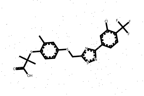 Cc1cc(SCc2nc(-c3ccc(C(F)(F)F)c(Cl)c3)ns2)ccc1SC(C)(C)C(=O)O